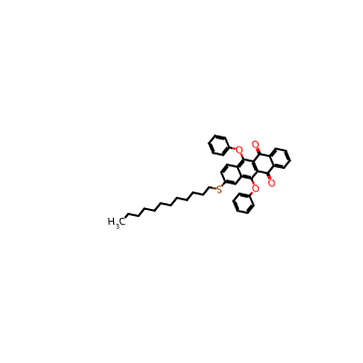 CCCCCCCCCCCCSc1ccc2c(Oc3ccccc3)c3c(c(Oc4ccccc4)c2c1)C(=O)c1ccccc1C3=O